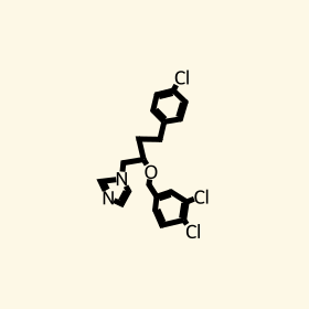 Clc1ccc(CCC(Cn2ccnc2)OCc2ccc(Cl)c(Cl)c2)cc1